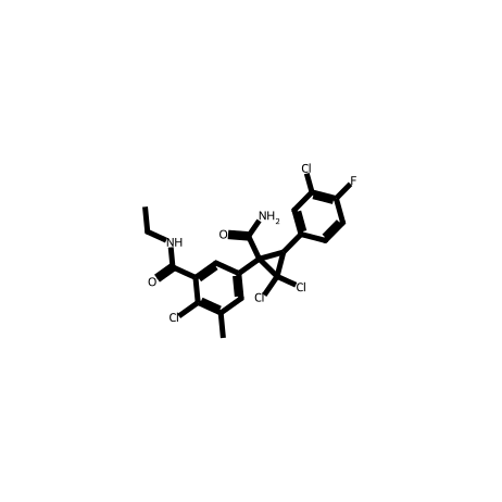 CCNC(=O)c1cc(C2(C(N)=O)C(c3ccc(F)c(Cl)c3)C2(Cl)Cl)cc(C)c1Cl